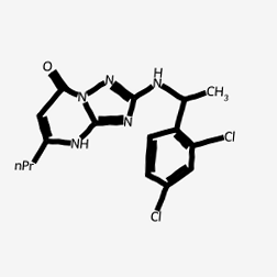 CCCc1cc(=O)n2nc(NC(C)c3ccc(Cl)cc3Cl)nc2[nH]1